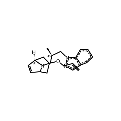 C=CCOC1CC2C=C[C@@H](C1)N2C[C@@H](C)Cn1ncc2ccccc21